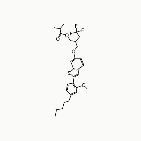 CCCCCc1ccc(-c2cc3ccc(OCC(COC(=O)C(C)C)CC(F)(F)F)cc3s2)c(OC)c1